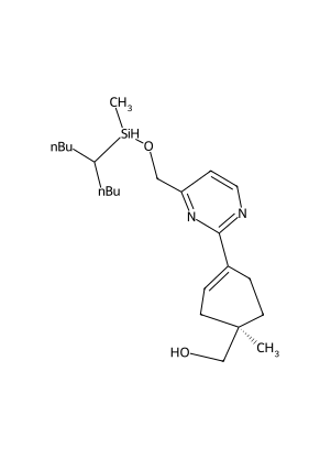 CCCCC(CCCC)[SiH](C)OCc1ccnc(C2=CC[C@](C)(CO)CC2)n1